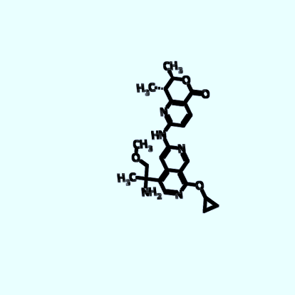 COCC(C)(N)c1cnc(OC2CC2)c2cnc(Nc3ccc4c(n3)[C@H](C)[C@@H](C)OC4=O)cc12